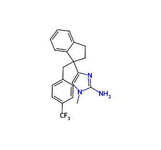 Cn1cc(C2(Cc3ccc(C(F)(F)F)cc3)CCc3ccccc32)nc1N